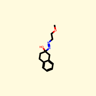 COCCN=NC1(O)CCc2ccccc2C1